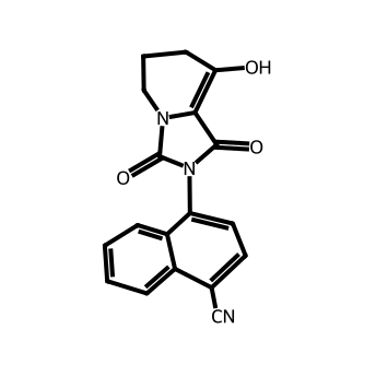 N#Cc1ccc(N2C(=O)C3=C(O)CCCN3C2=O)c2ccccc12